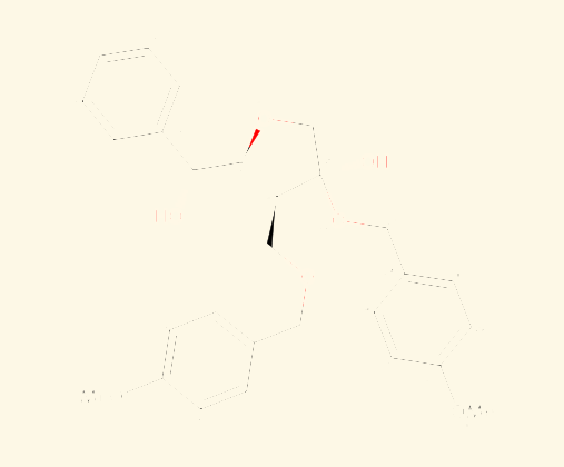 COc1ccc(COC[C@H]2[C@@H]([C@H](O)c3ccccc3)OC[C@@]2(O)OCc2ccc(OC)cc2)cc1